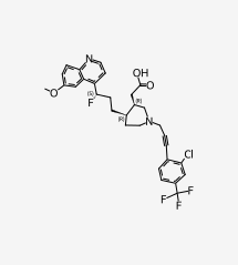 COc1ccc2nccc([C@@H](F)CC[C@@H]3CCN(CC#Cc4ccc(C(F)(F)F)cc4Cl)C[C@@H]3CC(=O)O)c2c1